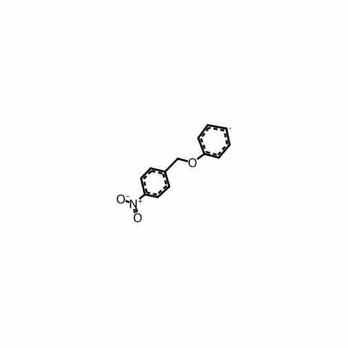 O=[N+]([O-])c1ccc(COc2cc[c]cc2)cc1